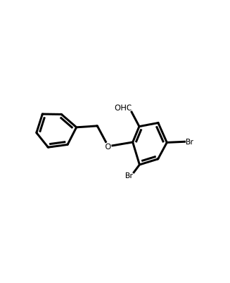 O=Cc1cc(Br)cc(Br)c1OCc1ccccc1